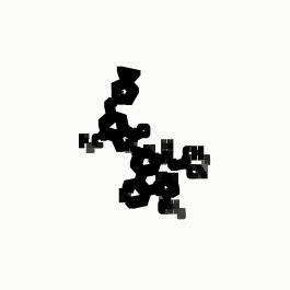 C[C@H](C#N)CNc1cc(-c2cnccc2-c2nncn2C)cc(N2Cc3c(cc(CN4CCC5(CC5)C4)cc3C(F)(F)F)C2=O)n1